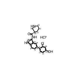 Cl.O=C(Nc1n[nH]c2ccc(-c3ccc(O)cc3Cl)cc12)[C@@H]1CCCNC1